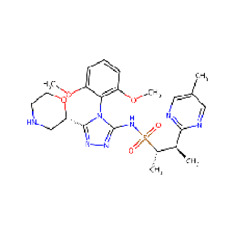 COc1cccc(OC)c1-n1c(NS(=O)(=O)[C@@H](C)[C@H](C)c2ncc(C)cn2)nnc1[C@@H]1CNCCO1